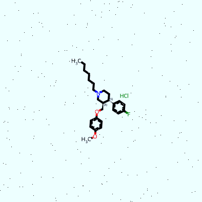 CCCCCCCN1CC[C@H](c2ccc(F)cc2)[C@@H](COc2ccc(OC)cc2)C1.Cl